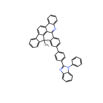 CC1(C)c2ccccc2-c2ccc3c(c(-c4ccc(-c5ccc(-c6nc7ccccc7n6-c6ccccc6)cc5)cc4)nc4ccccc43)c21